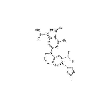 C=C(NC)c1cn(CC)c2c(C(C)C)cc(N3CCCc4cc(-c5cnn(C)c5)c(C(F)F)cc43)cc12